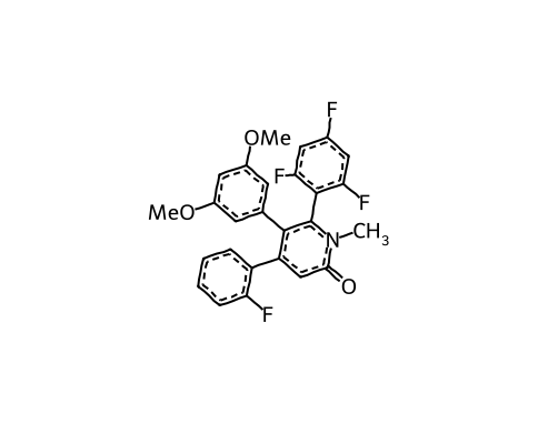 COc1cc(OC)cc(-c2c(-c3ccccc3F)cc(=O)n(C)c2-c2c(F)cc(F)cc2F)c1